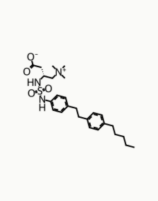 CCCCCc1ccc(CCc2ccc(NS(=O)(=O)N[C@H](CC(=O)[O-])C[N+](C)(C)C)cc2)cc1